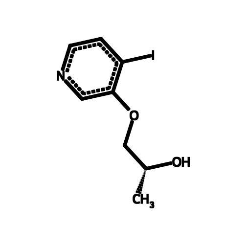 C[C@@H](O)COc1cnccc1I